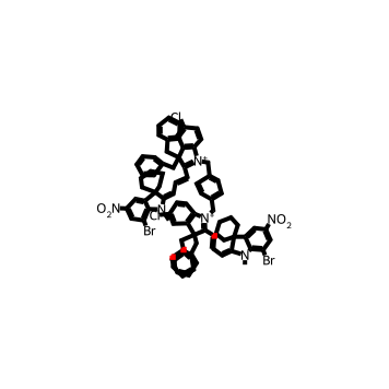 CN1/C(=C/C=C/C2=[N+](Cc3ccc(C[N+]4=C(/C=C/C=C5/N(C)c6c(Br)cc([N+](=O)[O-])cc6C56CCCCC6)C(Cc5ccccc5)(Cc5ccccc5)c5cc(Cl)ccc54)cc3)c3ccc(Cl)cc3C2(Cc2ccccc2)Cc2ccccc2)C2(CCCCC2)c2cc([N+](=O)[O-])cc(Br)c21